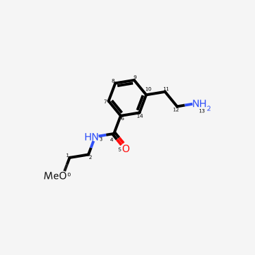 COCCNC(=O)c1cccc(CCN)c1